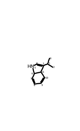 CC(C)C1=CNC2C=CC=CC12